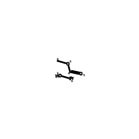 CC(C)O.COC=O